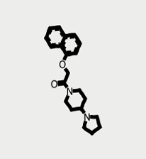 O=C(COc1cccc2ccccc12)N1CCC(N2CCCC2)CC1